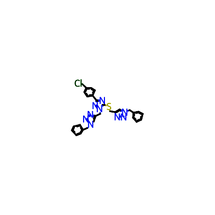 Clc1ccc(-c2nc(SCc3cn(Cc4ccccc4)nn3)n(Cc3cn(Cc4ccccc4)nn3)n2)cc1